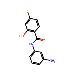 Nc1cccc(NC(=O)c2ccc(Cl)cc2O)c1